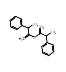 C=C(OC(=C)C(C)c1ccccc1)C(C)c1ccccc1